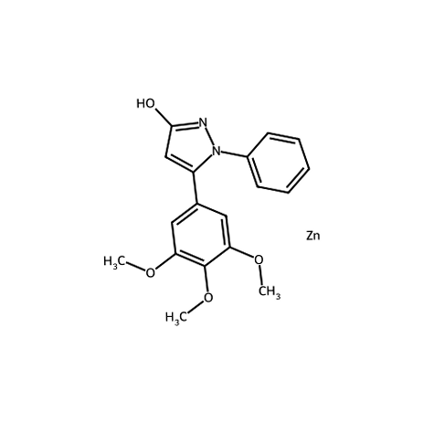 COc1cc(-c2cc(O)nn2-c2ccccc2)cc(OC)c1OC.[Zn]